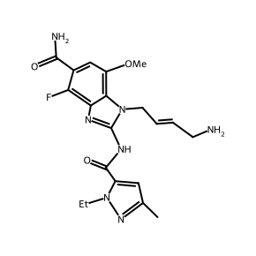 CCn1nc(C)cc1C(=O)Nc1nc2c(F)c(C(N)=O)cc(OC)c2n1CC=CCN